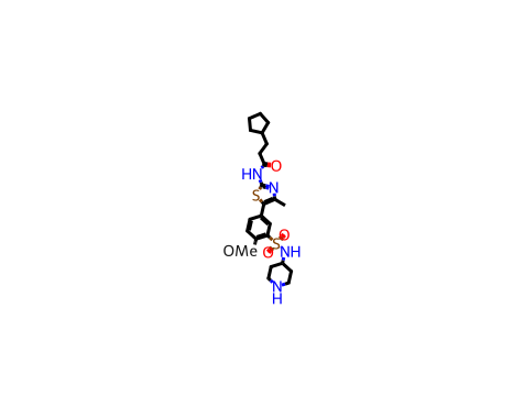 COc1ccc(-c2sc(NC(=O)CCC3CCCC3)nc2C)cc1S(=O)(=O)NC1CCNCC1